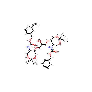 C=CCC(/C=C\C)COC(=O)NC1COC(C)(C)OCC1OCC(O)COC1COC(C)(C)OCC1NC(=O)OCC1C=CC=CC1